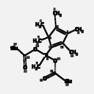 CC1=C(C)C(C)(C)[C]([Ti]([CH3])([O]C(=O)C(C)(C)C)[O]C(=O)C(C)(C)C)=C1C